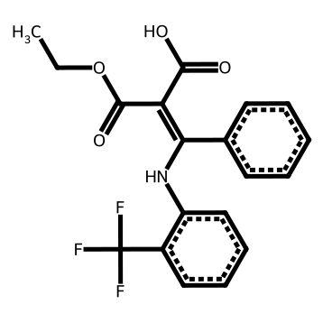 CCOC(=O)C(C(=O)O)=C(Nc1ccccc1C(F)(F)F)c1ccccc1